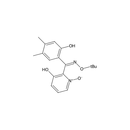 Cc1cc(O)c(/C(=N/OC(C)(C)C)c2c(O)ccc[n+]2[O-])cc1C